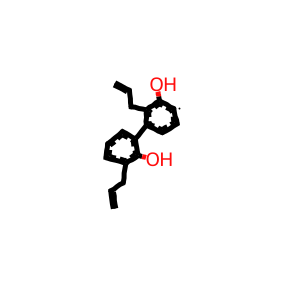 C=CCc1cccc(-c2cc[c]c(O)c2CC=C)c1O